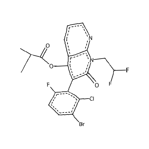 CC(C)C(=O)Oc1c(-c2c(F)ccc(Br)c2Cl)c(=O)n(CC(F)F)c2ncccc12